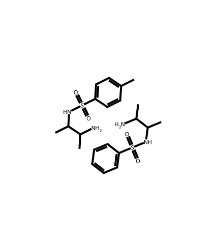 CC(N)C(C)NS(=O)(=O)c1ccccc1.Cc1ccc(S(=O)(=O)NC(C)C(C)N)cc1